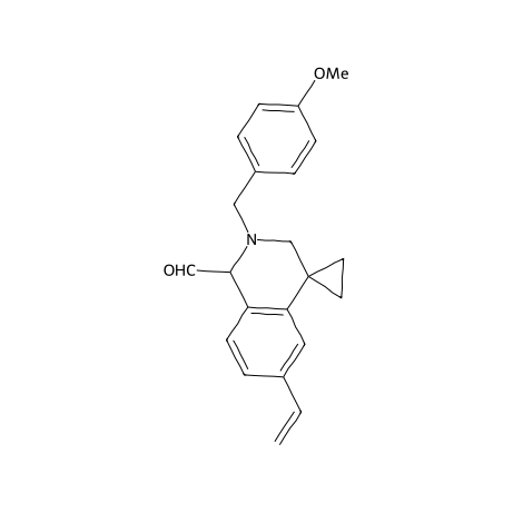 C=Cc1ccc2c(c1)C1(CC1)CN(Cc1ccc(OC)cc1)C2C=O